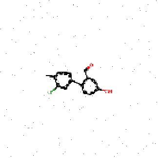 Cc1ccc(-c2ccc(O)cc2C=O)cc1Cl